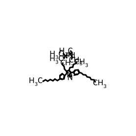 CCCCCCCCc1ccc(C2=C(CCCC)C(CCCCC)=C(c3ccc(CCCCCCCC)cc3)[N+]2=[N-])cc1.CC[N](CC)[Pd][N](CC)CC